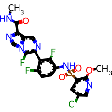 CNC(=O)c1ncn2c(F)c(-c3c(F)ccc(NS(=O)(=O)c4cc(Cl)cnc4OC)c3F)ncc12